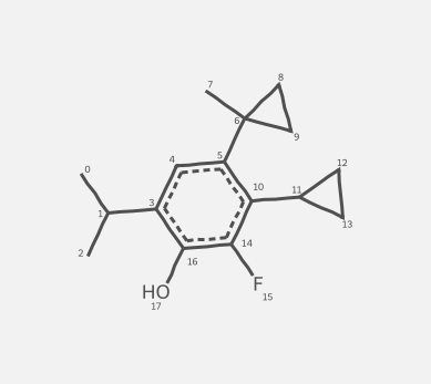 CC(C)c1cc(C2(C)CC2)c(C2CC2)c(F)c1O